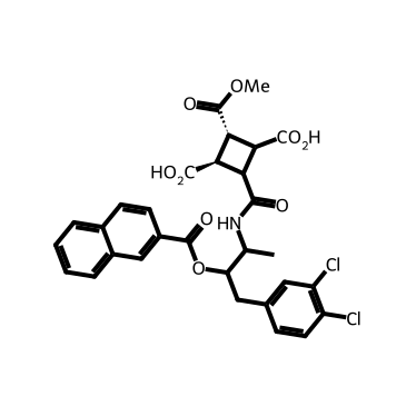 COC(=O)[C@@H]1C(C(=O)O)C(C(=O)NC(C)C(Cc2ccc(Cl)c(Cl)c2)OC(=O)c2ccc3ccccc3c2)[C@H]1C(=O)O